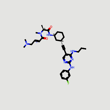 CCCNc1nc(Nc2cccc(F)c2)ncc1C#C[C@H]1CCC[C@H](NC(=O)[C@H](C)N(C)C(=O)/C=C/CN(C)C)C1